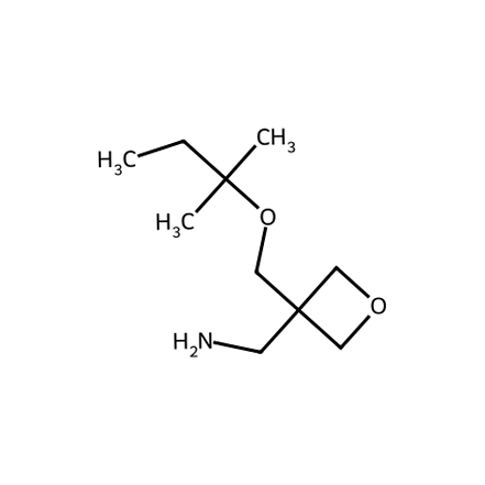 CCC(C)(C)OCC1(CN)COC1